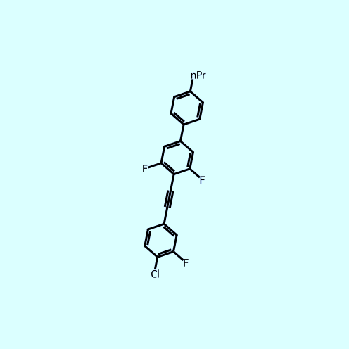 CCCc1ccc(-c2cc(F)c(C#Cc3ccc(Cl)c(F)c3)c(F)c2)cc1